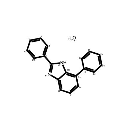 O.c1ccc(-c2nc3cccc(-c4ccccc4)c3[nH]2)cc1